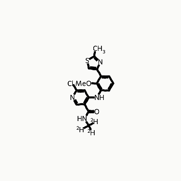 [2H]C([2H])([2H])NC(=O)c1cnc(Cl)cc1Nc1cccc(-c2csc(C)n2)c1OC